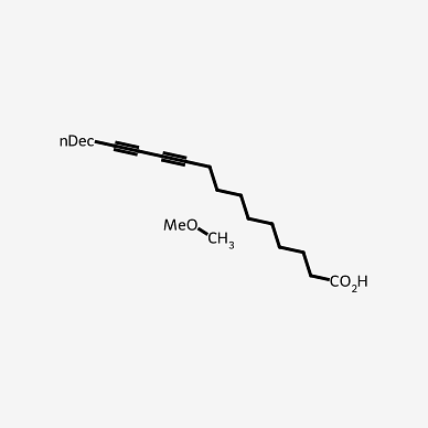 CCCCCCCCCCC#CC#CCCCCCCCCC(=O)O.COC